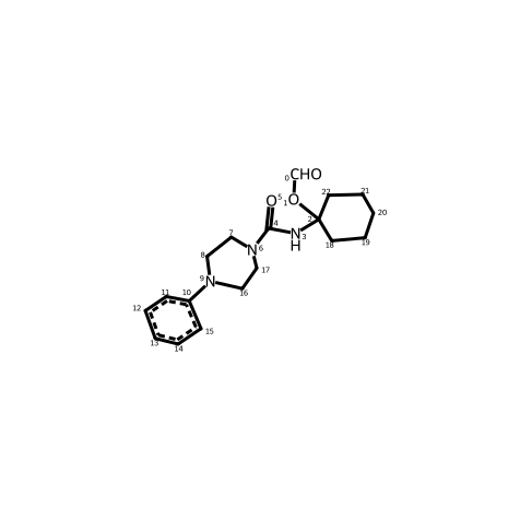 O=COC1(NC(=O)N2CCN(c3ccccc3)CC2)CCCCC1